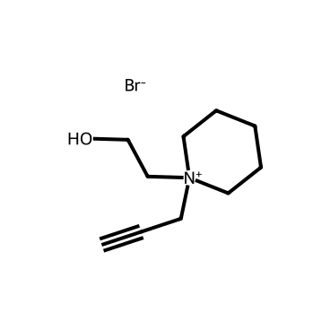 C#CC[N+]1(CCO)CCCCC1.[Br-]